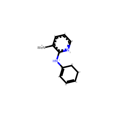 CNc1cccnc1NC1=CC=CCC1